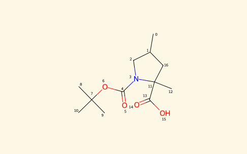 CC1CN(C(=O)OC(C)(C)C)C(C)(C(=O)O)C1